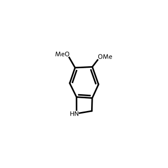 COc1cc2c(cc1OC)NC2